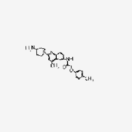 Cc1ccc(OCC(=O)Nc2ccc3nc(N4CCC(N)CC4)cc(C)c3c2)cc1